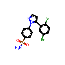 NS(=O)(=O)c1ccc(-n2nccc2-c2cc(Br)ccc2Br)cc1